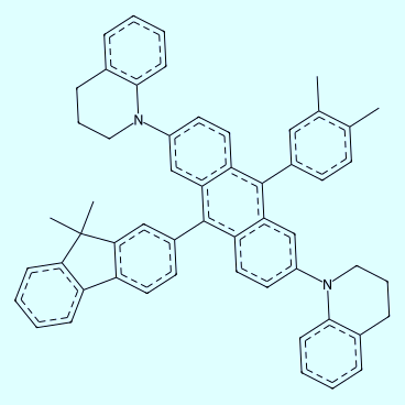 Cc1ccc(-c2c3ccc(N4CCCc5ccccc54)cc3c(-c3ccc4c(c3)C(C)(C)c3ccccc3-4)c3ccc(N4CCCc5ccccc54)cc23)cc1C